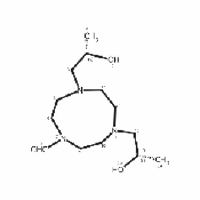 C[C@H](O)CN1CCN(C=O)CCN(C[C@H](C)O)CC1